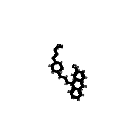 OCCCN1CCN(CCCC2c3ccccc3Sc3ccc(Cl)cc32)CC1